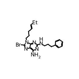 CC/C=C/CCCn1c(Br)nc2c(N)nc(NCCCc3ccccc3)nc21